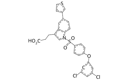 O=C(O)CCc1cn(S(=O)(=O)c2ccc(Oc3cc(Cl)cc(Cl)c3)cc2)c2ccc(-c3ccsc3)cc12